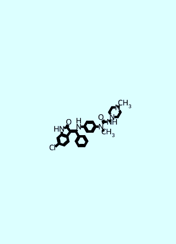 CN1CCN(NC(=O)N(C)c2ccc(N/C(=C3\C(=O)Nc4cc(Cl)ccc43)c3ccccc3)cc2)CC1